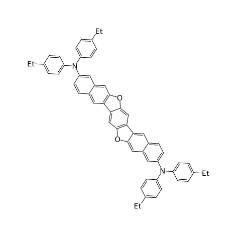 CCc1ccc(N(c2ccc(CC)cc2)c2ccc3cc4c(cc3c2)oc2cc3c(cc24)oc2cc4cc(N(c5ccc(CC)cc5)c5ccc(CC)cc5)ccc4cc23)cc1